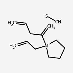 C=CCC(=C)[N+]1(CC=C)CCCC1.N#C[S-]